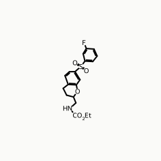 CCOC(=O)NCC1CCc2ccc(S(=O)(=O)c3cccc(F)c3)cc2O1